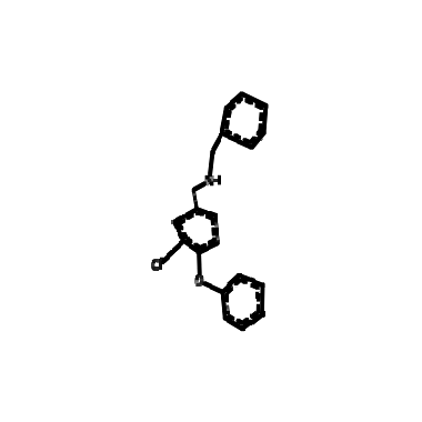 Clc1cc(CNCc2ccccc2)ccc1Oc1ccccc1